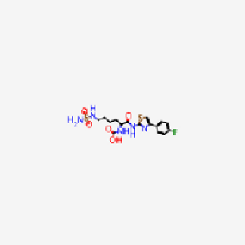 NS(=O)(=O)NCCCCC(NC(=O)O)C(=O)Nc1nc(-c2ccc(F)cc2)cs1